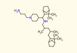 CC(CNC(C1CCN(CCCN)CC1)C1C2CCC(C2)C1(C)C)CC(C)CC1C2CCC(C2)C1(C)C